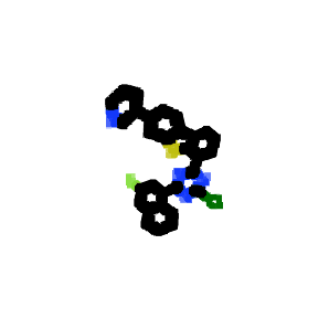 Fc1cc(-c2nc(Cl)nc(-c3cccc4c3sc3cc(-c5cccnc5)ccc34)n2)c2ccccc2c1